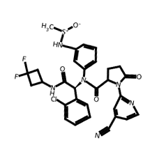 C[S+]([O-])Nc1cccc(N(C(=O)C2CCC(=O)N2c2cc(C#N)ccn2)[C@H](C(=O)NC2CC(F)(F)C2)c2ccccc2Cl)c1